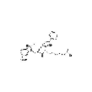 CCC(=O)CCCCC[C@H](NC(=O)Cc1c(C)[nH]c2ccc(OC)cc12)c1ncc(-c2cccnc2)[nH]1